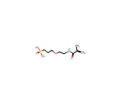 C=C(C)C(=O)NCCOCCCP(=O)(O)O